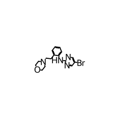 Brc1cnc(Nc2ccccc2CCN2CCOCC2)nc1